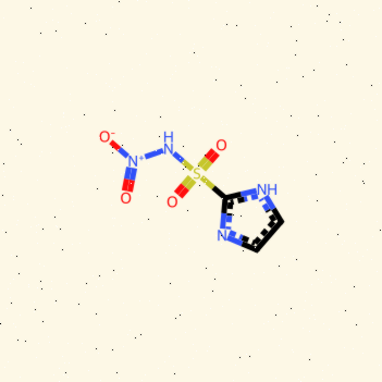 O=[N+]([O-])NS(=O)(=O)c1ncc[nH]1